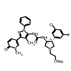 COCCN1C[C@@H](NC(=O)Nc2c(C)c(-c3ccc(=O)n(C)c3)nn2-c2ccccc2)[C@H](c2cc(F)cc(Cl)c2)C1